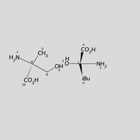 CC[C@H](C)[C@@](N)(O)C(=O)O.C[C@](N)(CO)C(=O)O